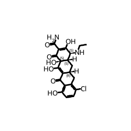 CCN[C@@H]1C(O)=C(C(N)=O)C(=O)[C@@]2(O)C(O)=C3C(=O)c4c(O)ccc(Cl)c4C[C@H]3C[C@@H]12